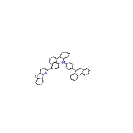 c1ccc(-c2ccccc2N(c2ccc(-c3ccc4oc5ccccc5c4n3)cc2)c2ccc(-c3cc4ccccc4c4ccccc34)cc2)cc1